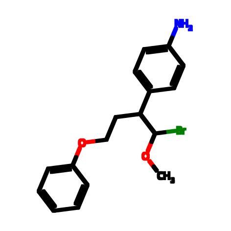 COC(Br)C(CCOc1ccccc1)c1ccc(N)cc1